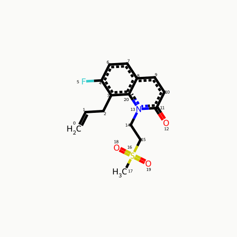 C=CCc1c(F)ccc2ccc(=O)n(CCS(C)(=O)=O)c12